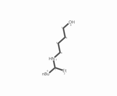 CCCCC(CC)NCCCCO